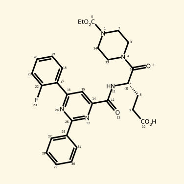 CCOC(=O)N1CCN(C(=O)[C@H](CCC(=O)O)NC(=O)c2cc(-c3ccccc3F)nc(-c3ccccc3)n2)CC1